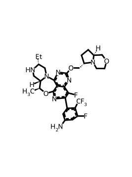 CC[C@@H]1CN2c3nc(OC[C@@H]4CC[C@H]5COCCN54)nc4c(F)c(-c5cc(N)cc(F)c5C(F)(F)F)nc(c34)O[C@@H](C)[C@@H]2CN1